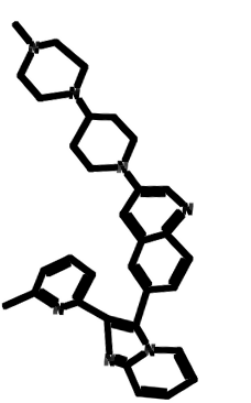 Cc1cccc(-c2nc3ccccn3c2-c2ccc3ncc(N4CCC(N5CCN(C)CC5)CC4)cc3c2)n1